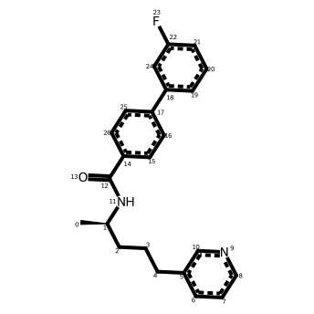 C[C@H](CCCc1cccnc1)NC(=O)c1ccc(-c2cccc(F)c2)cc1